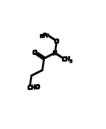 CCCON(C)C(=O)CCC=O